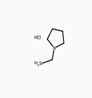 Cl.[SiH3]CN1CCCC1